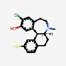 CN1CCc2cc(Cl)c(O)cc2C2c3cc(S)ccc3CC[C@@H]21